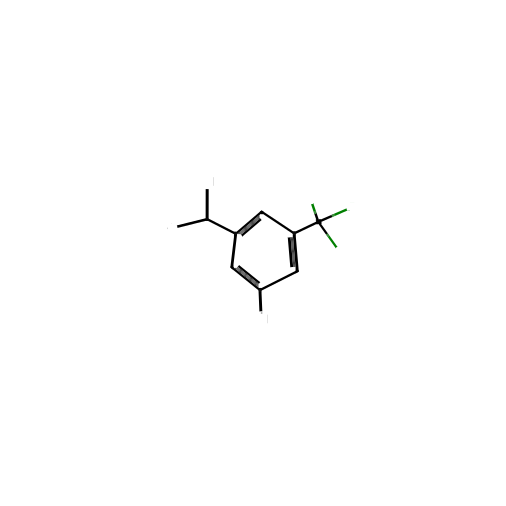 Cc1cc(C(C)C)cc(C(F)(F)F)c1